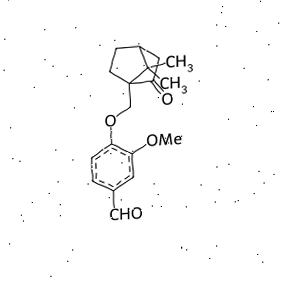 COc1cc(C=O)ccc1OCC12CCC(CC1=O)C2(C)C